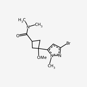 COC1(c2cc(Br)nn2C)CC(C(=O)N(C)C)C1